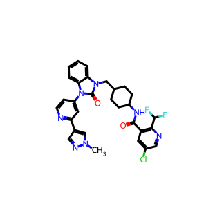 Cn1cc(-c2cc(-n3c(=O)n(CC4CCC(NC(=O)c5cc(Cl)cnc5C(F)F)CC4)c4ccccc43)ccn2)cn1